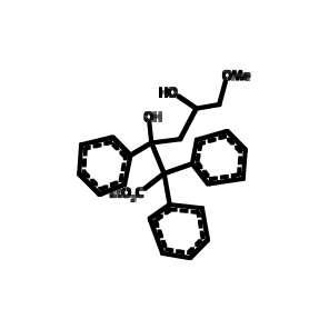 CCOC(=O)C(c1ccccc1)(c1ccccc1)C(O)(CC(O)COC)c1ccccc1